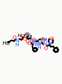 C#CCCC(=O)NCCC(=O)O[C@](C)(CI)C(=O)[C@H](CC(C)C)NC(=O)[C@H](Cc1ccccc1)NC(=O)[C@H](CC(C)C)NC(=O)CNC(=O)C(CCc1ccccc1)N1CCOCC1